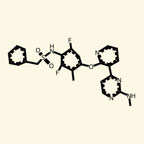 CNc1nccc(-c2cccnc2Oc2cc(F)c(NS(=O)(=O)Cc3ccccc3)c(F)c2C)n1